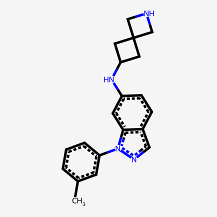 Cc1cccc(-n2ncc3ccc(NC4CC5(CNC5)C4)cc32)c1